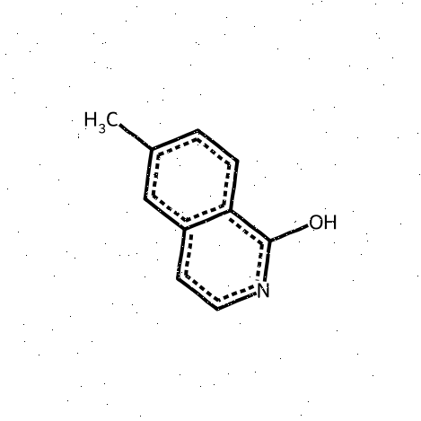 Cc1ccc2c(O)nccc2c1